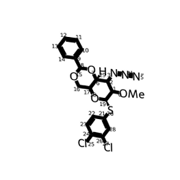 COC1C(N=[N+]=[N-])[C@H]2OC(c3ccccc3)OCC2O[C@@H]1Sc1ccc(Cl)c(Cl)c1